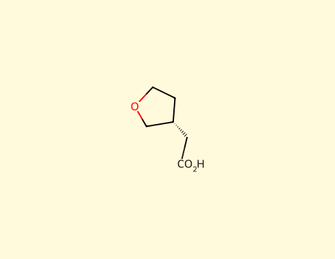 O=C(O)C[C@H]1CCOC1